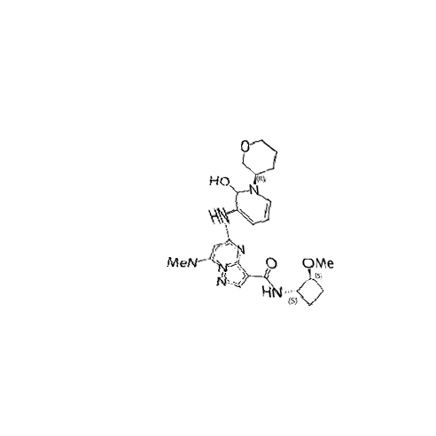 CNc1cc(NC2=CC=CN([C@@H]3CCCOC3)C2O)nc2c(C(=O)N[C@H]3CC[C@@H]3OC)cnn12